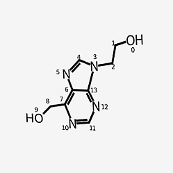 OCCn1cnc2c(CO)ncnc21